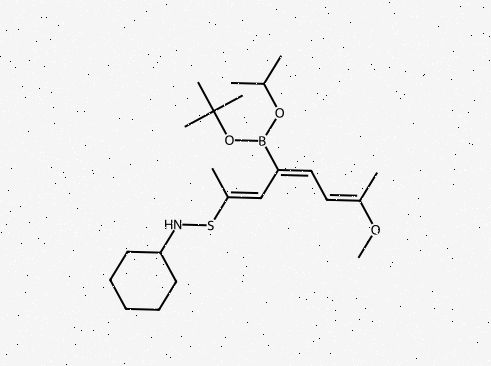 CO/C(C)=C/C=C(\C=C(/C)SNC1CCCCC1)B(OC(C)C)OC(C)(C)C